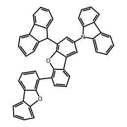 c1ccc2c(c1)-c1ccccc1C2c1cc(-n2c3ccccc3c3ccccc32)cc2c1oc1c(-c3cccc4c3oc3ccccc34)cccc12